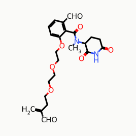 C=C(C=O)CCOCCOCCOc1cccc(C=O)c1C(=O)N(C)C1CCC(=O)NC1=O